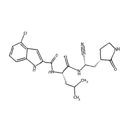 CC(C)C[C@H](NC(=O)c1cc2c(Cl)cccc2[nH]1)C(=O)N[C@H](C#N)C[C@@H]1CCNC1=O